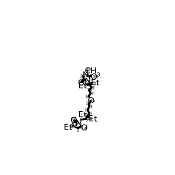 CCN1CC(=O)N(CCC(CC)(CC)CCCCOCCCCC(CC)(CC)N2C(=O)CN(C)C2=O)C1=O